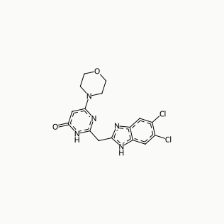 O=c1cc(N2CCOCC2)nc(Cc2nc3cc(Cl)c(Cl)cc3[nH]2)[nH]1